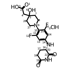 Cl.O=C(O)CC1(O)CCN(c2c(F)cc(N[C@H]3CCC(=O)NC3=O)cc2F)CC1